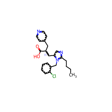 CCCCc1ncc(/C=C(\Cc2ccncc2)C(=O)O)n1Cc1ccccc1Cl